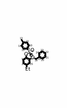 CCc1ccc(OS(=O)(=O)c2ccc(C)cc2)c(OCc2ccccc2)c1